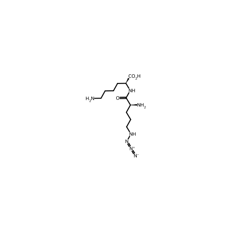 [N-]=[N+]=NNCCC[C@H](N)C(=O)N[C@@H](CCCCN)C(=O)O